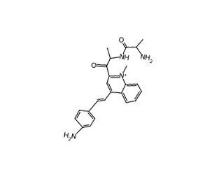 CC(N)C(=O)NC(C)C(=O)c1cc(C=Cc2ccc(N)cc2)c2ccccc2[n+]1C